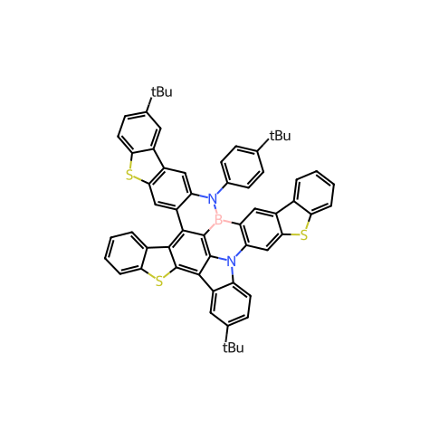 CC(C)(C)c1ccc(N2B3c4cc5c(cc4-n4c6ccc(C(C)(C)C)cc6c6c7sc8ccccc8c7c(c3c64)-c3cc4sc6ccc(C(C)(C)C)cc6c4cc32)sc2ccccc25)cc1